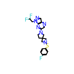 Fc1ccc(SN2CC3(CCN(c4cnc5cnn(CC(F)F)c5n4)C3)C2)cc1